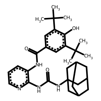 CC(C)(C)c1cc(C(=O)Nc2cccnc2NC(=O)NC23CC4CC(CC(C4)C2)C3)cc(C(C)(C)C)c1O